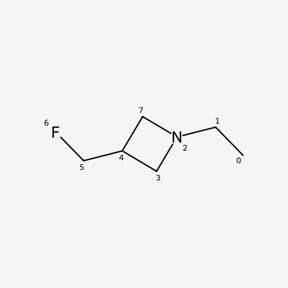 CCN1CC(CF)C1